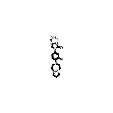 NC[C@H]1CN(c2ccc(N3CCN4CCCN4CC3)c(F)c2)C(=O)O1